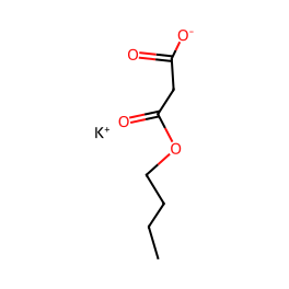 CCCCOC(=O)CC(=O)[O-].[K+]